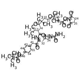 CC(C)C(CC(=O)C(C)(C)CCOC(C)(C)CCC(=O)ON1C(=O)CCC1=O)C(=O)N[C@H](CCCNC(N)=O)C(=O)Cc1ccc(COC(=O)C(C)(C)C)cc1